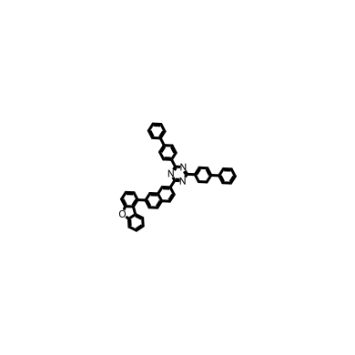 C1=C(c2ccccc2)CCC(c2nc(-c3ccc(-c4ccccc4)cc3)nc(-c3ccc4ccc(-c5cccc6oc7ccccc7c56)cc4c3)n2)=C1